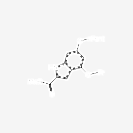 CCCCCOc1cc(OC(C)C)c2cc(C(=O)OC)[nH]c2c1